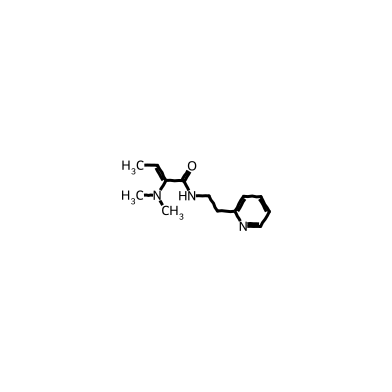 CC=C(C(=O)NCCc1ccccn1)N(C)C